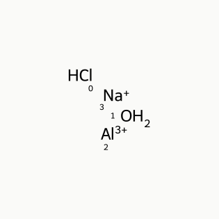 Cl.O.[Al+3].[Na+]